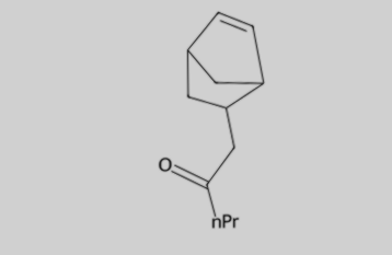 CCCC(=O)CC1CC2C=CC1C2